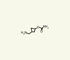 NCC1CC(OC(N)=O)C1